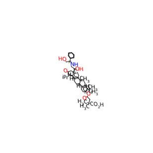 CC(C)C1=C2[C@H]3CC[C@@H]4[C@@]5(C)CC[C@H](OC(=O)CC(C)(C)C(=O)O)C(C)(C)[C@@H]5CC[C@@]4(C)[C@]3(C)CC[C@@]2([C@@H](O)CN[C@@H](CO)c2ccccc2)CC1=O